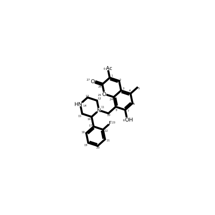 CC(=O)c1cc2c(C)cc(O)c(CN3CCNCC3c3ccccc3F)c2oc1=O